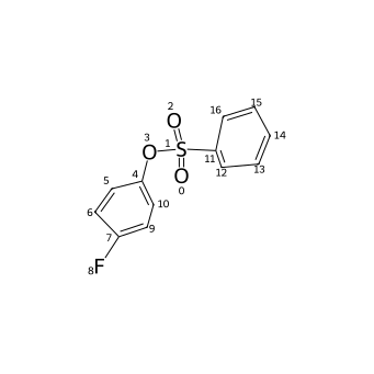 O=S(=O)(Oc1ccc(F)cc1)c1ccccc1